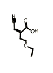 CCOCC/C(=C/C#N)C(=O)O